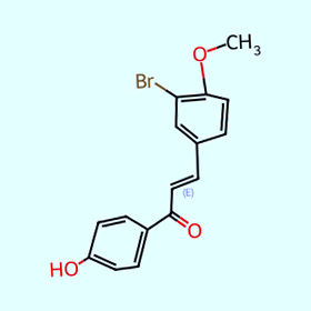 COc1ccc(/C=C/C(=O)c2ccc(O)cc2)cc1Br